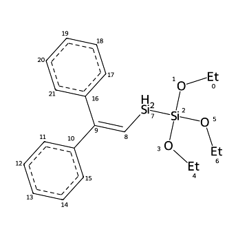 CCO[Si](OCC)(OCC)[SiH2]C=C(c1ccccc1)c1ccccc1